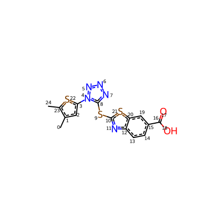 Cc1cc(-n2nnnc2Sc2nc3ccc(C(=O)O)cc3s2)sc1C